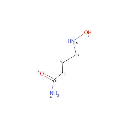 NC(=O)CCCNO